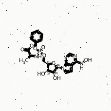 CC(NP(=O)(OC[C@H]1O[C@@H](n2ccc3c(NO)ncnc32)[C@H](O)[C@@H]1O)Oc1ccccc1)C(=O)O